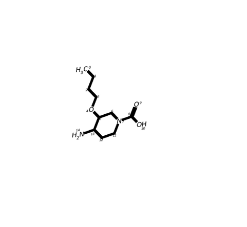 CCCCOC1CN(C(=O)O)CCC1N